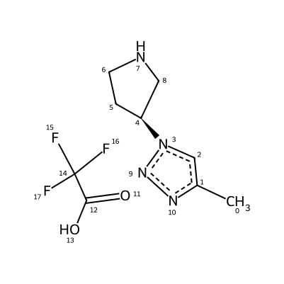 Cc1cn([C@H]2CCNC2)nn1.O=C(O)C(F)(F)F